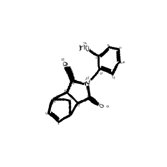 O=C1C2C3C=CC(C3)C2C(=O)N1c1ccccc1O